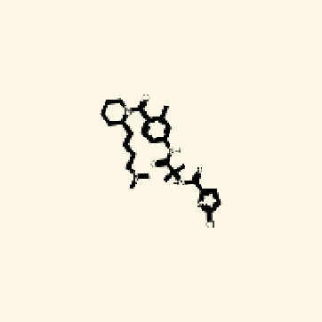 Cc1cc(NC(=O)C(C)(C)NC(=O)c2ccc(Cl)s2)ccc1C(=O)N1CCCCC1CCCCN(C)C